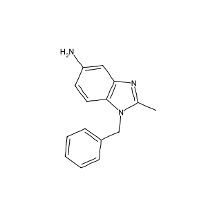 Cc1nc2cc(N)ccc2n1Cc1ccccc1